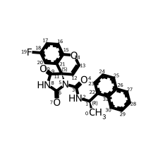 C[C@@H](NC(=O)N1C(=O)NC(=O)[C@@]12C=COc1ccc(F)cc12)c1cccc2ccccc12